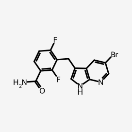 NC(=O)c1ccc(F)c(Cc2c[nH]c3ncc(Br)cc23)c1F